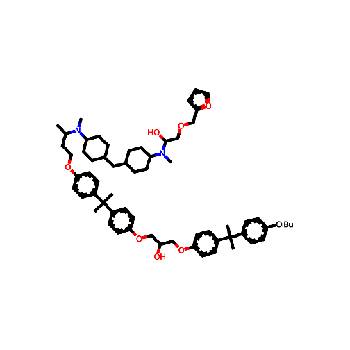 CC(C)COc1ccc(C(C)(C)c2ccc(OCC(O)COc3ccc(C(C)(C)c4ccc(OCCC(C)N(C)C5CCC(CC6CCC(N(C)C(O)COCc7ccco7)CC6)CC5)cc4)cc3)cc2)cc1